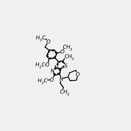 CCCN(c1c(OC)nn2c(-c3c(OC)cc(COC)cc3OC)c(C)sc12)C1CCOCC1